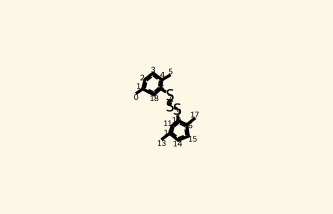 Cc1ccc(C)c(SSSc2cc(C)ccc2C)c1